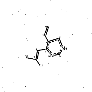 C=Cc1cncnc1C=C(C)C